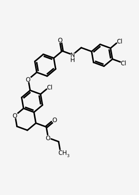 CCOC(=O)C1CCOc2cc(Oc3ccc(C(=O)NCc4ccc(Cl)c(Cl)c4)cc3)c(Cl)cc21